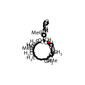 CO[C@H]1C[C@@H]2CC[C@@H](C)[C@@](O)(O2)C(=O)C(=O)N2CCCC[C@H]2C(=O)O[C@H]([C@H](C)C[C@@H]2CC[C@H](n3cc(CN4CCOCC4)nn3)[C@H](OC)C2)CC(=O)[C@H](C)/C=C(\C)[C@@H](O)[C@@H](OC)C(=O)[C@H](C)C[C@H](C)/C=C/C=C/C=C/1C